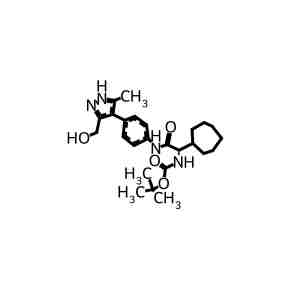 Cc1[nH]nc(CO)c1-c1ccc(NC(=O)[C@@H](NC(=O)OC(C)(C)C)C2CCCCCC2)cc1